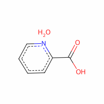 O.O=C(O)c1ccccn1